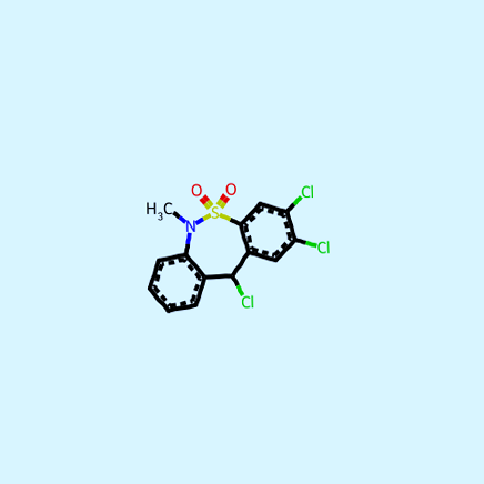 CN1c2ccccc2C(Cl)c2cc(Cl)c(Cl)cc2S1(=O)=O